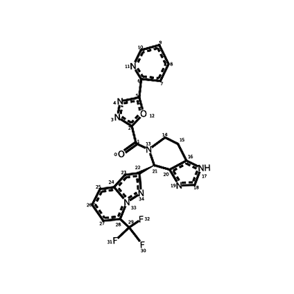 O=C(c1nnc(-c2ccccn2)o1)N1CCc2[nH]cnc2[C@H]1c1cc2cccc(C(F)(F)F)n2n1